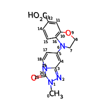 Cn1nc2cc(N3CCOc4cc(C(=O)O)ccc43)ccn2c1=O